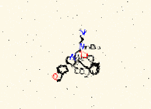 CCCCN(CCCN(C)C)C(=O)CN1C[C@H](c2ccc3c(c2)CCO3)[C@@H](C(=O)O)[C@@H]1CCc1ccccc1OC